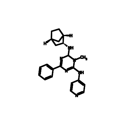 CN1C(Nc2ccncc2)=NC(c2ccccc2)=NC1N[C@@H]1C[C@@H]2CC[C@H]1C2